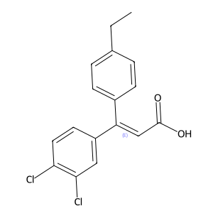 CCc1ccc(/C(=C\C(=O)O)c2ccc(Cl)c(Cl)c2)cc1